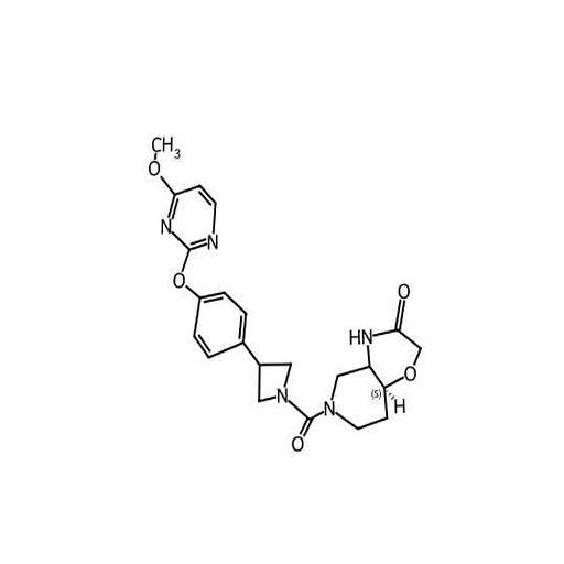 COc1ccnc(Oc2ccc(C3CN(C(=O)N4CC[C@@H]5OCC(=O)NC5C4)C3)cc2)n1